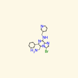 NCc1c(-c2ccccc2)nc(NCc2cccnc2)c2ncc(Br)n12